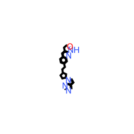 c1ncc2ccn(C3CCC(CCc4ccc5cc6c(nc5c4)NOCC6)C3)c2n1